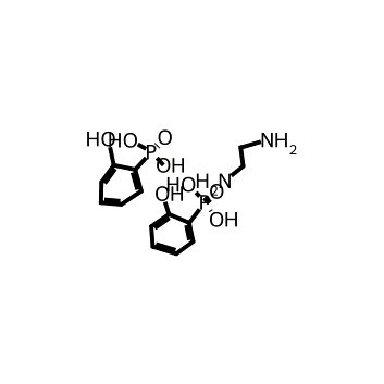 NCCN.O=P(O)(O)c1ccccc1O.O=P(O)(O)c1ccccc1O